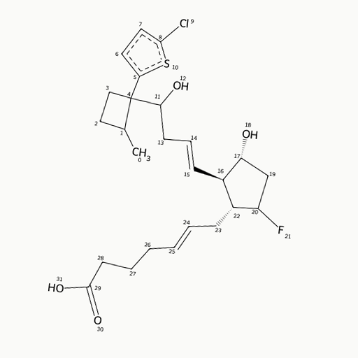 CC1CCC1(c1ccc(Cl)s1)C(O)CC=C[C@H]1[C@H](O)CC(F)[C@@H]1CC=CCCCC(=O)O